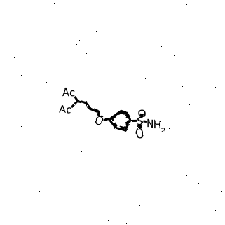 CC(=O)C(CCCOc1ccc(S(N)(=O)=O)cc1)C(C)=O